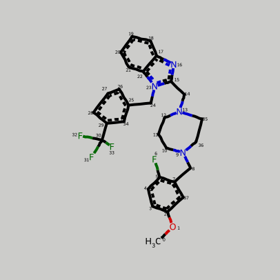 COc1ccc(F)c(CN2CCCN(Cc3nc4ccccc4n3Cc3cccc(C(F)(F)F)c3)CC2)c1